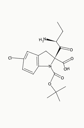 CC[C@H](N)C(=O)[C@]1(C(=O)O)Cc2cc(Cl)ccc2N1C(=O)OC(C)(C)C